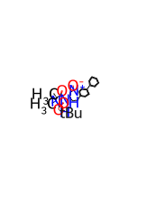 C[C@@H](C(=O)NC1CCc2ccc(-c3ccccc3)cc2[NH+]([O-])C1)N(C)C(=O)OC(C)(C)C